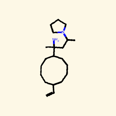 C=CC1CCCCC(C(C)(N)CC(C)N2CCCC2)CCCC1